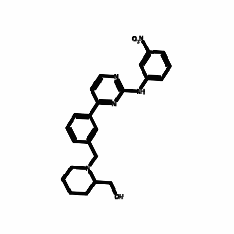 O=[N+]([O-])c1cccc(Nc2nccc(-c3cccc(CN4CCCCC4CO)c3)n2)c1